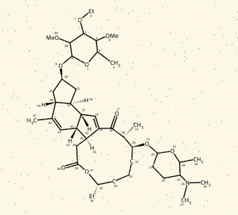 CCOC1C(OC)C(C)OC(O[C@H]2C[C@H]3[C@@H]4C=C5C(=O)[C@H](C)[C@@H](OC6CCC(N(C)C)C(C)O6)CCC[C@H](CC)OC(=O)C[C@H]5[C@@H]4C=C(C)[C@@H]3C2)C1OC